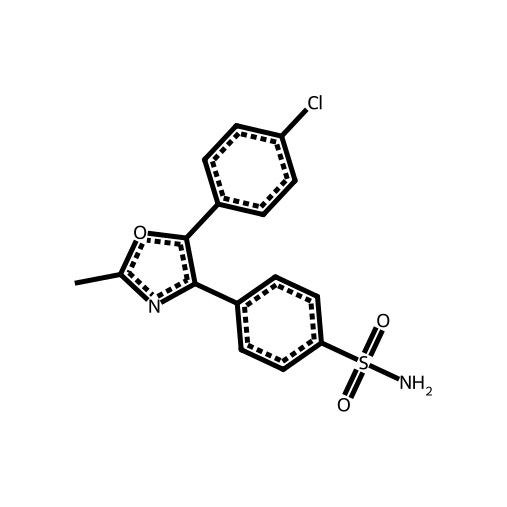 Cc1nc(-c2ccc(S(N)(=O)=O)cc2)c(-c2ccc(Cl)cc2)o1